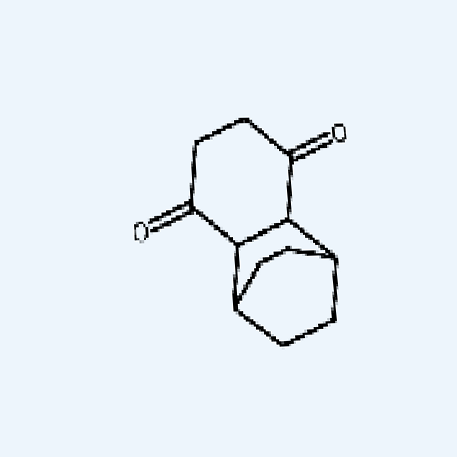 O=C1CCC(=O)C2C3CCC(CC3)C12